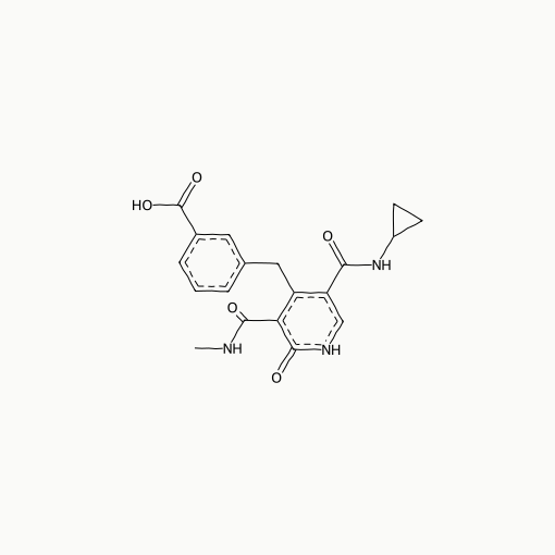 CNC(=O)c1c(Cc2cccc(C(=O)O)c2)c(C(=O)NC2CC2)c[nH]c1=O